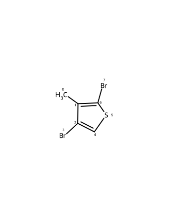 Cc1c(Br)csc1Br